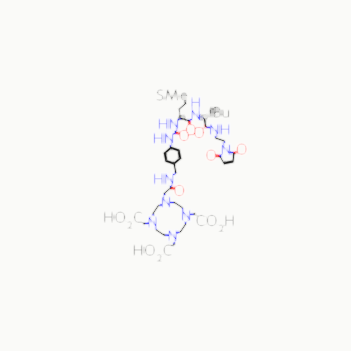 CC[C@H](C)[C@H](NC(=O)[C@H](CCSC)NC(=O)Nc1ccc(CNC(=O)CN2CCN(CC(=O)O)CCN(CC(=O)O)CCN(CC(=O)O)CC2)cc1)C(=O)NCCN1C(=O)C=CC1=O